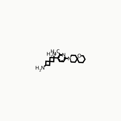 Cc1nc(N2CCC3(CCCCO3)CC2)ccc1C1(N)CC2(CC(N)C2)C1